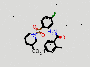 Cc1ccccc1C(N)=O.O=C(O)C1CCCN(S(=O)(=O)c2ccc(F)cc2)C1